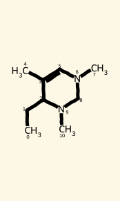 CCC1C(C)=CN(C)CN1C